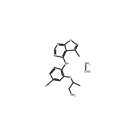 Cc1csc2ncnc(Nc3ccc(F)cc3OC(C)CN)c12.NC=O